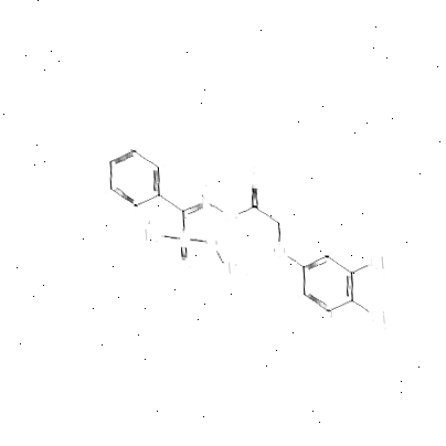 CCC(C)OP(=O)(O)C(=NOC(=O)COc1ccc(Cl)c(Cl)c1)c1ccccc1